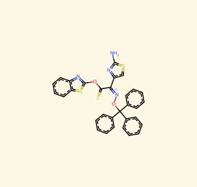 Nc1nc(/C(=N/OC(c2ccccc2)(c2ccccc2)c2ccccc2)C(=S)Oc2nc3ccccc3s2)cs1